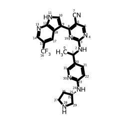 CC(Nc1ncc(C#N)c(-c2c[nH]c3ncc(C(F)(F)F)cc23)n1)c1ccc(N[C@H]2CCNC2)nc1